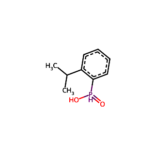 CC(C)c1ccccc1[PH](=O)O